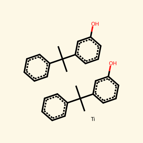 CC(C)(c1ccccc1)c1cccc(O)c1.CC(C)(c1ccccc1)c1cccc(O)c1.[Ti]